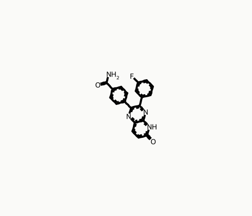 NC(=O)c1ccc(-c2nc3ccc(=O)[nH]c3nc2-c2cccc(F)c2)cc1